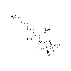 CCCCCCC(O)COCC(F)(F)S(=O)(=O)O.[NaH]